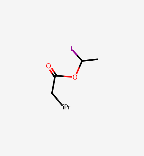 CC(C)CC(=O)OC(C)I